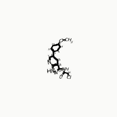 COc1ccc(-c2cnc3[nH]nc(NC(=O)CCl)c3c2)cc1